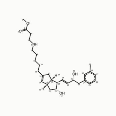 COC(=O)CCNCCCCCC1=C[C@H]2C[C@@H](O)[C@H](/C=C/[C@H](O)Cc3cccc(C)c3)[C@H]2C1